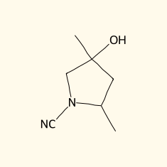 CC1CC(C)(O)CN1C#N